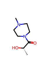 C[C@H](O)C(=O)N1CCN(C)CC1